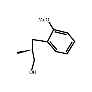 COc1ccccc1C[C@H](C)CO